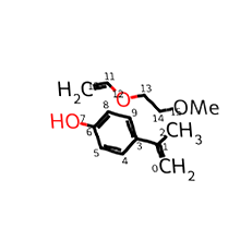 C=C(C)c1ccc(O)cc1.C=COCCOC